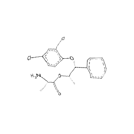 C[C@H](N)C(=O)O[C@@H](C)[C@H](Oc1ccc(Cl)cc1Cl)c1ccccc1